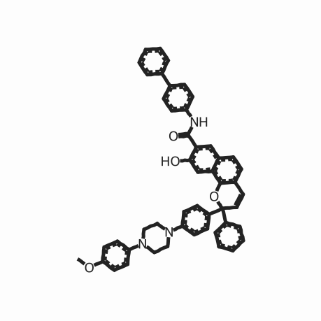 COc1ccc(N2CCN(c3ccc(C4(c5ccccc5)C=Cc5ccc6cc(C(=O)Nc7ccc(-c8ccccc8)cc7)c(O)cc6c5O4)cc3)CC2)cc1